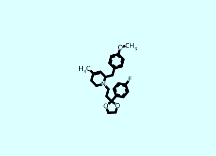 COc1ccc(CC2C=C(C)CCN2CCC2(c3ccc(F)cc3)OCCO2)cc1